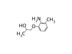 Cc1cccc(OCC(C)O)c1N